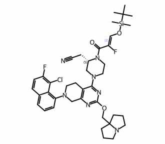 CC(C)(C)[Si](C)(C)O/C=C(\F)C(=O)N1CCN(c2nc(OCC34CCCN3CCC4)nc3c2CCN(c2cccc4ccc(F)c(Cl)c24)C3)C[C@@H]1CC#N